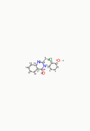 COc1cccc(-n2c(CCl)nc3ccccc3c2=O)c1